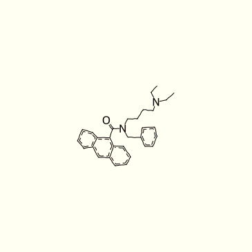 CCN(CC)CCCCN(Cc1ccccc1)C(=O)c1c2ccccc2cc2ccccc12